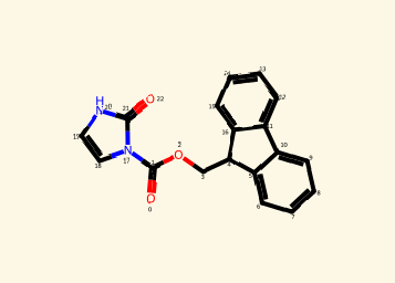 O=C(OCC1c2ccccc2-c2ccccc21)n1cc[nH]c1=O